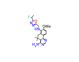 COc1ccc2c(c1NCc1nnc(C(C)F)o1)CC(C)(C)c1c(N)ncnc1-2